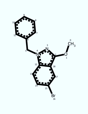 COc1nn(Cc2ccccc2)c2ccc(Br)cc12